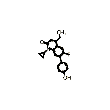 CCc1cc(=O)n(C2CC2)c2cc(-c3ccc(O)cc3)c(F)cc12